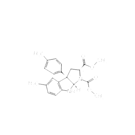 COC(=O)[C@@H]1C[C@@]2(c3ccc(C)cc3)c3cc(C)ccc3N[C@H]2N1C(=O)OC